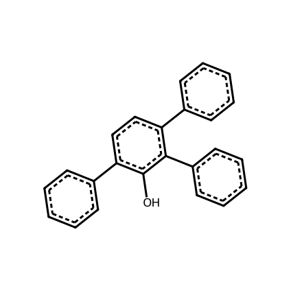 Oc1c(-c2ccccc2)ccc(-c2ccccc2)c1-c1ccccc1